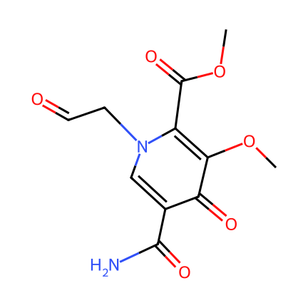 COC(=O)c1c(OC)c(=O)c(C(N)=O)cn1CC=O